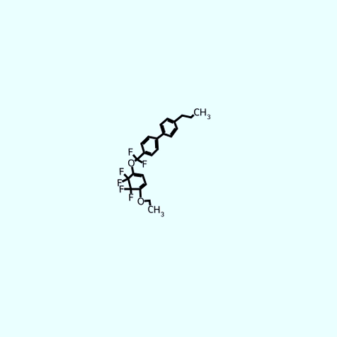 CCCc1ccc(-c2ccc(C(F)(F)OC3=CC=C(OCC)C(F)(F)C3(F)F)cc2)cc1